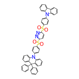 O=S(=O)(c1ccc(N2c3ccccc3C(c3ccccc3)(c3ccccc3)c3ccccc32)cc1)c1ccc(S(=O)(=O)c2ccc(-n3c4ccccc4c4ccccc43)cc2)nn1